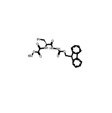 CC(C)C[C@H](NC(=O)C(=O)OC(C)(C)C)C(=O)NNC(=O)OCC1c2ccccc2-c2ccccc21